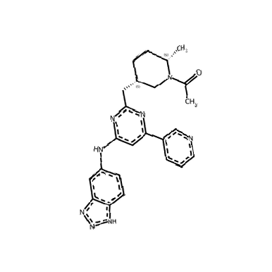 CC(=O)N1C[C@H](Cc2nc(Nc3ccc4[nH]nnc4c3)cc(-c3cccnc3)n2)CC[C@@H]1C